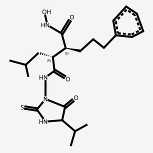 CC(C)C[C@@H](C(=O)NN1C(=O)C(C(C)C)NC1=S)[C@H](CCCc1ccccc1)C(=O)NO